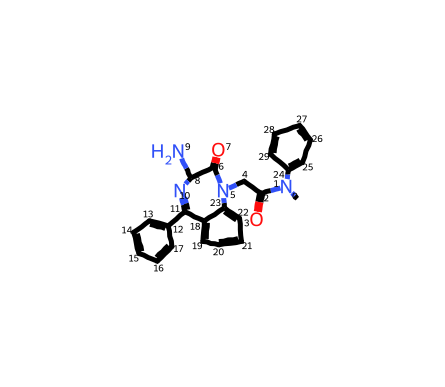 CN(C(=O)CN1C(=O)C(N)N=C(c2ccccc2)c2ccccc21)c1ccccc1